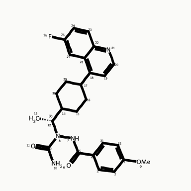 COc1ccc(C(=O)NN(C(N)=O)[C@H](C)C2CCC(c3ccnc4ccc(F)cc34)CC2)cc1